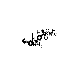 CNC(=O)C(NC(=O)O)c1ccc(C(=O)Nc2cc(-c3cccs3)ccc2N)cc1